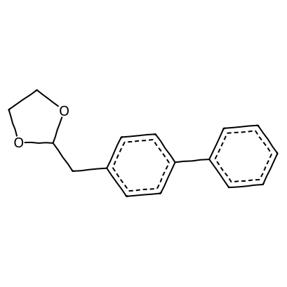 c1ccc(-c2ccc(CC3OCCO3)cc2)cc1